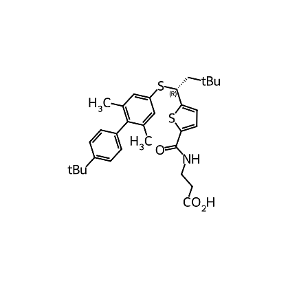 Cc1cc(S[C@H](CC(C)(C)C)c2ccc(C(=O)NCCC(=O)O)s2)cc(C)c1-c1ccc(C(C)(C)C)cc1